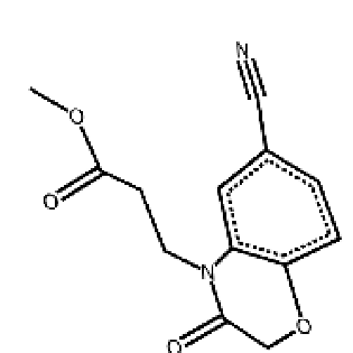 COC(=O)CCN1C(=O)COc2ccc(C#N)cc21